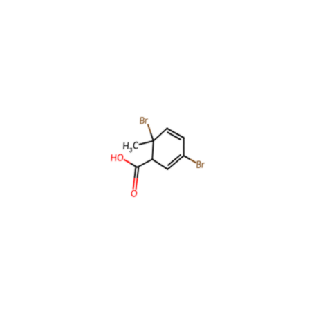 CC1(Br)C=CC(Br)=CC1C(=O)O